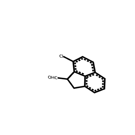 O=CC1Cc2cccc3ccc(Cl)c1c23